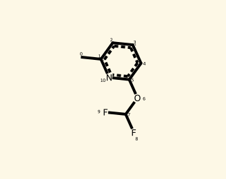 Cc1c[c]cc(OC(F)F)n1